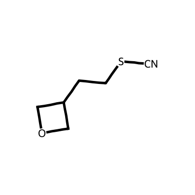 N#CSCCC1COC1